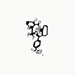 NS(=O)(=O)c1ccc(-c2cn(C(=O)c3c(Cl)ccnc3C(F)(F)F)c3c2CCCC3)cc1